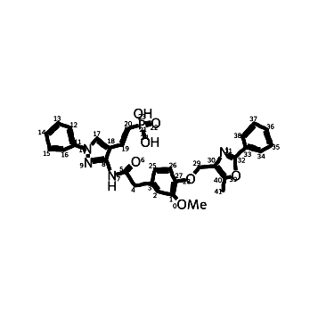 COc1cc(CC(=O)Nc2nn(-c3ccccc3)cc2C=CP(=O)(O)O)ccc1OCc1nc(-c2ccccc2)oc1C